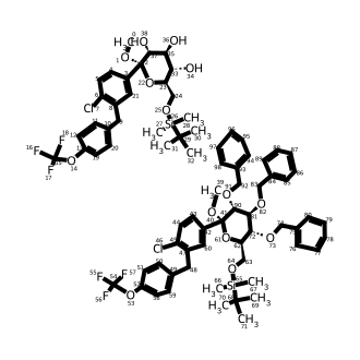 CO[C@@]1(c2ccc(Cl)c(Cc3ccc(OC(F)(F)F)cc3)c2)O[C@H](CO[Si](C)(C)C(C)(C)C)[C@@H](O)[C@H](O)[C@H]1O.CO[C@@]1(c2ccc(Cl)c(Cc3ccc(OC(F)(F)F)cc3)c2)O[C@H](CO[Si](C)(C)C(C)(C)C)[C@@H](OCc2ccccc2)[C@H](OCc2ccccc2)[C@H]1OCc1ccccc1